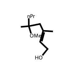 CCCC(C)(CC(C)=CCO)OC